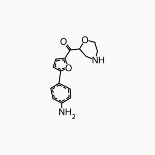 Nc1ccc(-c2ccc(C(=O)C3CNCCO3)o2)cc1